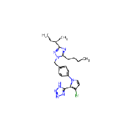 CCCCc1nc(C(C)CC)nn1Cc1ccc(-n2ccc(Br)c2-c2nnn[nH]2)cc1